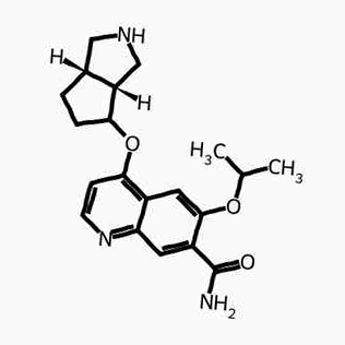 CC(C)Oc1cc2c(OC3CC[C@@H]4CNC[C@H]34)ccnc2cc1C(N)=O